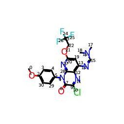 COc1ccc(-n2c(=O)c(Cl)nc3c(/N=C\N(C)C)cc(OCC(F)(F)F)nc32)cc1